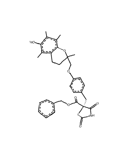 Cc1c(C)c2c(c(C)c1O)CCC(C)(COc1ccc(C[C@@]3(C(=O)OCc4ccccc4)SC(=O)NC3=O)cc1)O2